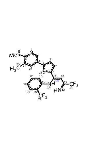 CSc1ncc(-c2ccc(/C(=C/C(=N)C(F)(F)F)Nc3ccccc3C(F)(F)F)s2)cc1C